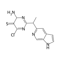 CC(C1=NC(N)C(=S)C(Cl)=N1)c1cc2cc[nH]c2cn1